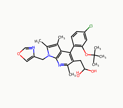 Cc1nc2c(c(C)c(C)n2Cc2cocn2)c(-c2ccc(Cl)cc2OC(C)(C)C)c1CC(O)O